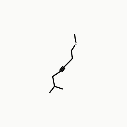 COCCC#CCC(C)C